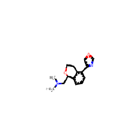 CN(CC1OCCc2c(-c3cocn3)cccc21)C(=O)O